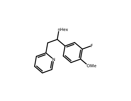 CCCCCCC(Cc1ccccn1)c1ccc(OC)c(F)c1